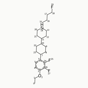 CCOc1ccc(C2CCC(C3CC[SiH](CCCCF)CC3)CC2)c(F)c1F